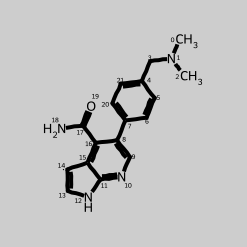 CN(C)Cc1ccc(-c2cnc3[nH]c[c]c3c2C(N)=O)cc1